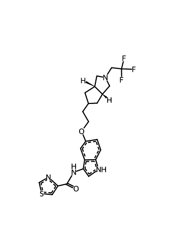 O=C(Nc1c[nH]c2ccc(OCCC3C[C@@H]4CN(CC(F)(F)F)C[C@@H]4C3)cc12)c1cscn1